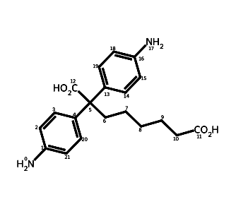 Nc1ccc(C(CCCCCC(=O)O)(C(=O)O)c2ccc(N)cc2)cc1